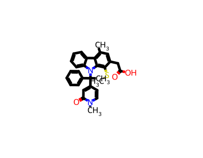 CSc1c(CC(=O)O)cc(C)c2c3ccccc3n(C(C)(c3ccccc3)c3ccn(C)c(=O)c3)c12